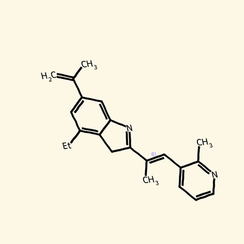 C=C(C)c1cc(CC)c2c(c1)N=C(/C(C)=C/c1cccnc1C)C2